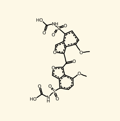 COc1ccc(S(=O)(=O)NC(=O)O)c2coc(C(=O)c3occ4c(S(=O)(=O)NC(=O)O)ccc(OC)c34)c12